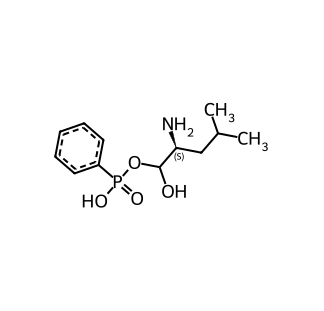 CC(C)C[C@H](N)C(O)OP(=O)(O)c1ccccc1